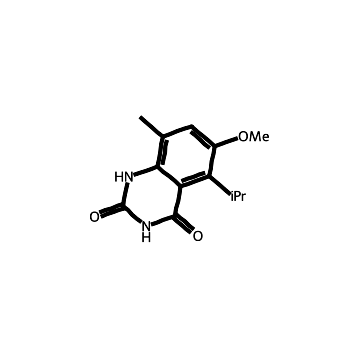 COc1cc(C)c2[nH]c(=O)[nH]c(=O)c2c1C(C)C